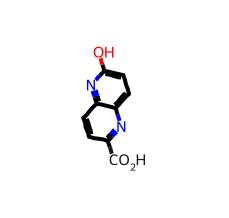 O=C(O)c1ccc2nc(O)ccc2n1